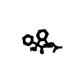 COC(=O)C(O)(c1ccccc1)c1ccccc1CCN(C)C